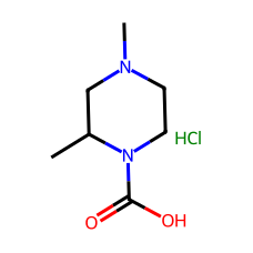 CC1CN(C)CCN1C(=O)O.Cl